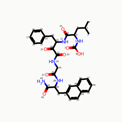 CC(C)CC(NC(=O)O)C(=O)NC(Cc1ccccc1)C(=O)C(=O)NCC(=O)NC(Cc1ccc2ccccc2c1)C(N)=O